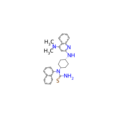 CN(C)c1cc(N[C@H]2CC[C@@H](N(C(N)=S)c3cccc4ccccc34)CC2)nc2ccccc12